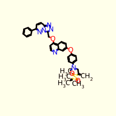 C=C(CN(C)c1ccc(Oc2ccc3c(OCc4nnc5ccc(-c6ccccc6)nn45)ccnc3c2)cc1)S(=O)(=O)C(C)(C)C